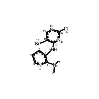 CN(C)c1ncccc1Nc1nc(Cl)ncc1Br